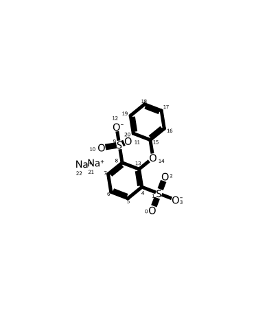 O=S(=O)([O-])c1cccc(S(=O)(=O)[O-])c1Oc1ccccc1.[Na+].[Na+]